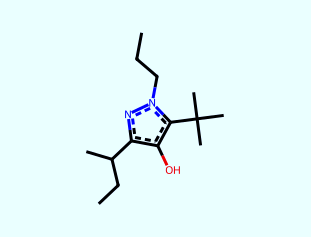 CCCn1nc(C(C)CC)c(O)c1C(C)(C)C